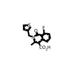 Cc1c(C(=O)O)c2cccc(F)c2c(=O)n1Cc1ccsc1